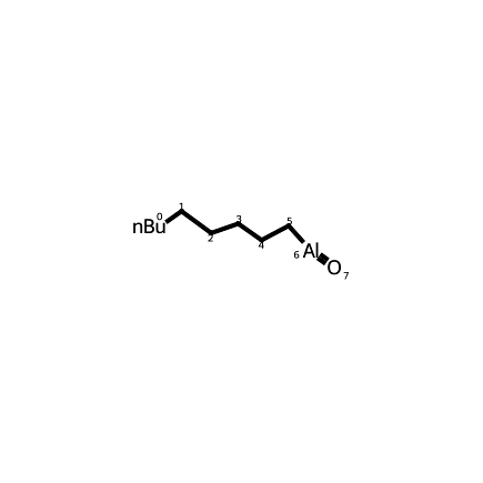 CCCCCCCC[CH2][Al]=[O]